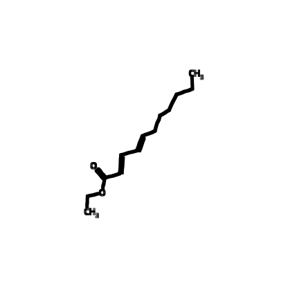 CCCCCCC=CC=CC(=O)OCC